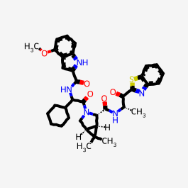 COc1cccc2[nH]c(C(=O)NC(C(=O)N3C[C@H]4[C@@H]([C@H]3C(=O)N[C@@H](C)C(=O)c3nc5ccccc5s3)C4(C)C)C3CCCCC3)cc12